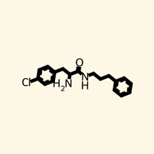 NC(Cc1ccc(Cl)cc1)C(=O)NCCCc1ccccc1